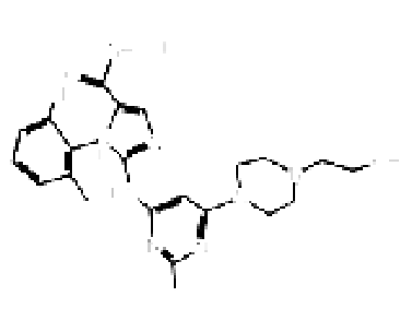 Cc1nc(NC2=NC=C(C(N)=O)[SH]2c2c(C)cccc2Cl)cc(N2CCN(CCO)CC2)n1.O